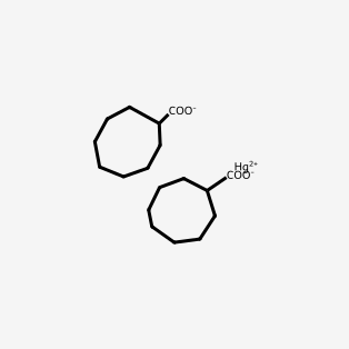 O=C([O-])C1CCCCCCC1.O=C([O-])C1CCCCCCC1.[Hg+2]